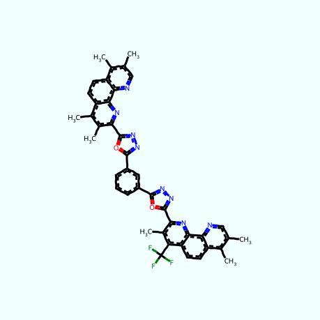 Cc1cnc2c(ccc3c(C)c(C)c(-c4nnc(-c5cccc(-c6nnc(-c7nc8c(ccc9c(C)c(C)cnc98)c(C(F)(F)F)c7C)o6)c5)o4)nc32)c1C